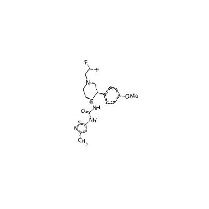 COc1ccc(C2CN(CC(F)F)CC[C@H]2NC(=O)Nc2cc(C)ns2)cc1